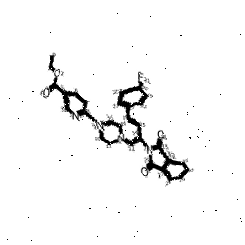 CCOC(=O)c1ccc(N2CCN(CC(/C=C/c3ccc(F)cc3)N3C(=O)c4ccccc4C3=O)CC2)nc1